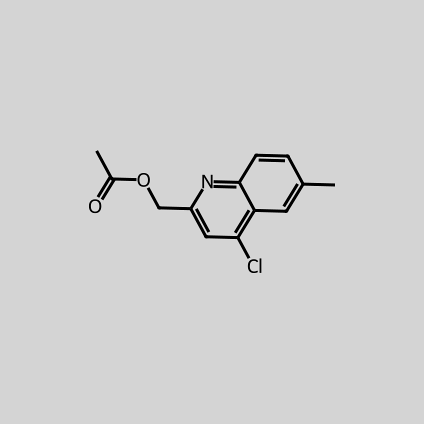 CC(=O)OCc1cc(Cl)c2cc(C)ccc2n1